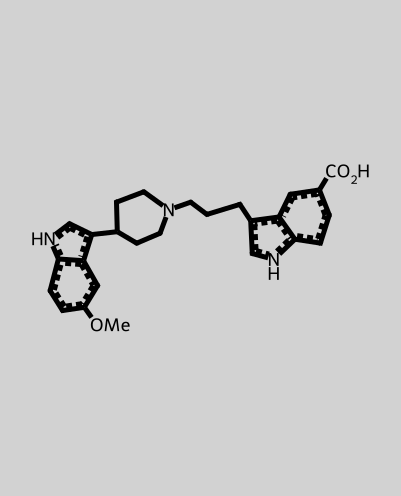 COc1ccc2[nH]cc(C3CCN(CCCc4c[nH]c5ccc(C(=O)O)cc45)CC3)c2c1